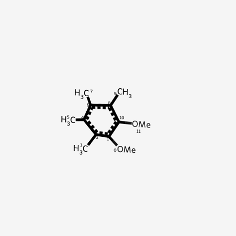 COc1c(C)c(C)c(C)c(C)c1OC